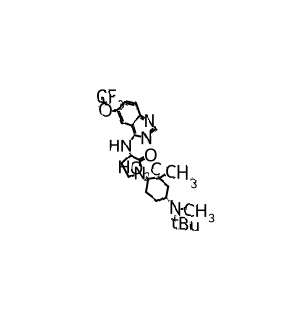 CN([C@@H]1CC[C@H](N2CC[C@H](Nc3ncnc4ccc(OC(F)(F)F)cc34)C2=O)[C@](C)(C(=O)O)C1)C(C)(C)C